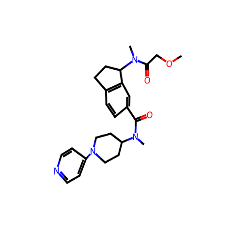 COCC(=O)N(C)C1CCc2ccc(C(=O)N(C)C3CCN(c4ccncc4)CC3)cc21